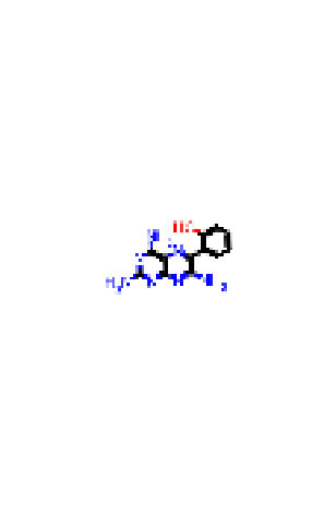 Nc1nc(N)c2nc(-c3ccccc3O)c(N)nc2n1